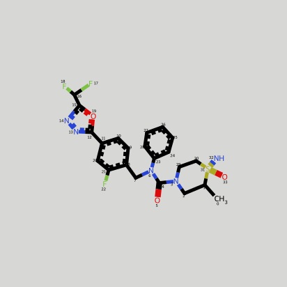 CC1CN(C(=O)N(Cc2ccc(-c3nnc(C(F)F)o3)cc2F)c2ccccc2)CCS1(=N)=O